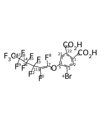 O=C(O)c1cc(Br)c(OC(F)=C(F)C(F)(F)C(F)(F)C(F)(F)C(F)(F)F)cc1C(=O)O